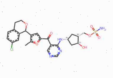 Cc1oc(C(=O)c2cncnc2N[C@@H]2C[C@H](COS(N)(=O)=O)[C@@H](O)C2)cc1C1OCCc2ccc(Cl)cc21